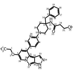 CCOc1cc(-c2ccc(N3CCC(Cc4ccccc4)(NC(=O)CCO)CC3)nc2)c2c3cn[nH]c3nn2c1